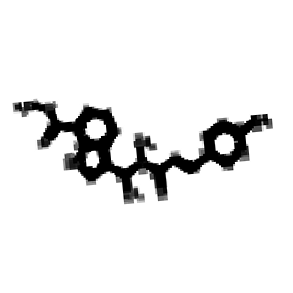 COC(=O)c1cccc2c(C(C)N(C)C(=O)C=Cc3ccc(N)nc3)c[nH]c12